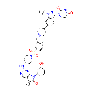 Cn1nc(N2CCC(=O)NC2=O)c2ccc(C3CCN(Cc4cc(S(=O)(=O)N5CCC(Nc6ncc7c(n6)N([C@@H]6CCC[C@@H](O)C6)C(=O)C76CC6)CC5)ccc4F)CC3)cc21